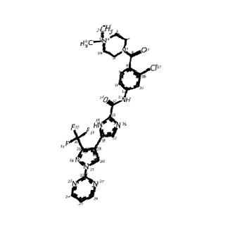 C[N+]1(C)CCN(C(=O)c2ccc(NC(=O)c3ncc(-c4cn(-c5ncccn5)nc4C(F)(F)F)[nH]3)cc2Cl)CC1